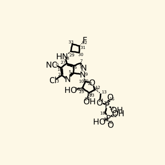 N#Cc1c(Cl)nc2c(cnn2[C@@H]2O[C@H](COP(=O)(O)CP(=O)(O)O)[C@@H](O)[C@H]2O)c1N[C@H]1C[C@@H](F)C1